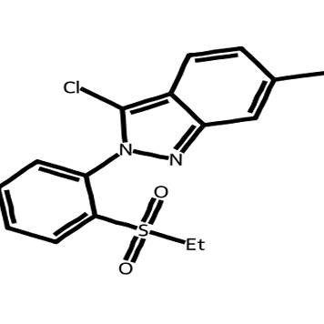 CCS(=O)(=O)c1ccccc1-n1nc2cc(C)ccc2c1Cl